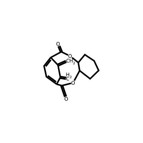 C=c1c2ccc(c1=C)C(=O)OC1CCCCC1OC2=O